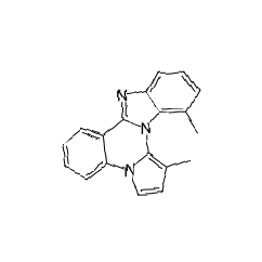 Cc1cccc2nc3c4ccccc4n4ccc(C)c4n3c12